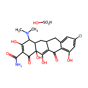 CN(C)C1C(O)=C(C(N)=O)C(=O)C2(O)C(O)=C3C(=O)c4c(O)cc(Cl)cc4CC3CC12.O=S(=O)(O)O